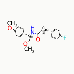 COC[C@H](NC(=O)[C@H]1C[C@@H]1c1ccc(F)cc1)c1ccc(OC)cc1